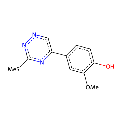 COc1cc(-c2cnnc(SC)n2)ccc1O